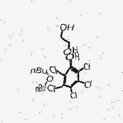 CCCCOCCCC.OCCO.Oc1c(Cl)c(Cl)c(Cl)c(Cl)c1Cl